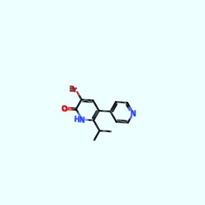 CC(C)c1[nH]c(=O)c(Br)cc1-c1ccncc1